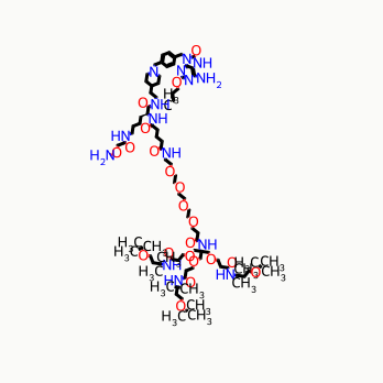 CCCCOc1nc(N)c2[nH]c(=O)n(Cc3ccc(CN4CCC(CCNC(=O)[C@H](CCCCNC(=O)CON)NC(=O)CCCC(=O)NCCOCCOCCOCCOCCC(=O)NC(COCCC(=O)NC(C)(C)CCOC(C)(C)C)(COCCC(=O)NC(C)(C)CCOC(C)(C)C)COCCC(=O)NC(C)(C)CCOC(C)(C)C)CC4)cc3)c2n1